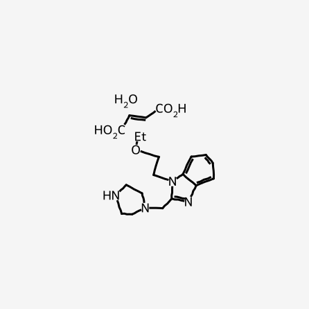 CCOCCn1c(CN2CCNCC2)nc2ccccc21.O.O=C(O)/C=C/C(=O)O